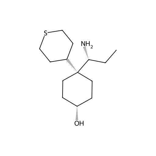 CC[C@@H](N)[C@]1(C2CCSCC2)CC[C@@H](O)CC1